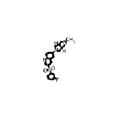 CN1C[C@@H]2CN(c3ccc4ncc(S(=O)(=O)c5cccc(F)c5)cc4c3)C[C@@H]2C1